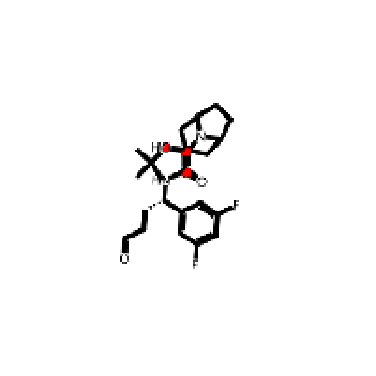 CC(C)(C)OC(=O)N1C2CCC1CC(O)(C(=O)N[C@@H](CCC=O)c1cc(F)cc(F)c1)C2